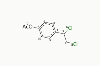 CC(=O)Oc1ccc(C(Cl)CCl)cc1